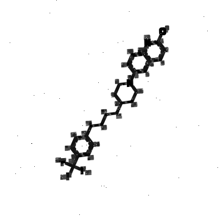 [O]c1ccc2cc(N3CCC(CCCCc4ccc(C(F)(F)F)cc4)CC3)ccc2n1